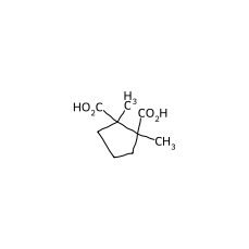 CC1(C(=O)O)CCCC1(C)C(=O)O